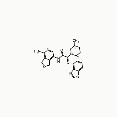 C[C@H]1CC[C@H](c2ccc3scnc3c2)N(C(=O)C(=O)Nc2cnc(N)c3c2COC3)C1